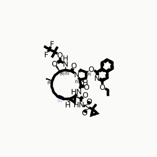 CCOc1cc2ccccc2c(O[C@@H]2C[C@H]3C(=O)N[C@]4(C(=O)NS(=O)(=O)C5(C)CC5)C[C@H]4/C=C\CC[C@@H](C)C[C@@H](C)[C@H](NC(=O)OC(C)(C)C(C)(F)F)C(=O)N3C2)n1